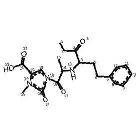 CCC(=O)C(CCc1ccccc1)NC(C)C(=O)n1cc(C(=O)O)n(C)c1=O